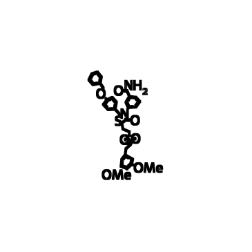 COc1ccc(CCS(=O)(=O)CCC2SC(c3ccc(OCc4ccccc4)cc3)N(c3cccc(C(N)=O)c3)C2=O)cc1OC